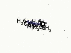 C=C(C)/C=C(C)/C=C(N)/C=C(C)/C=C/C1=C(C)CCCC1(C)C